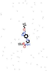 CC(C)(C)OC(=O)NC1CCN(c2ccc3c(c2)ncn3COCC[Si](C)(C)C)C1